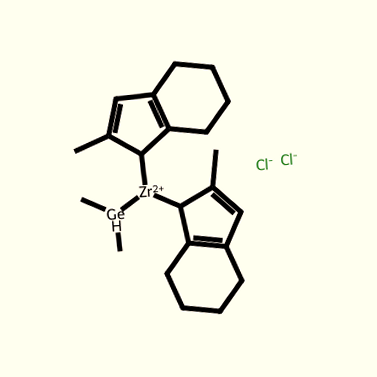 CC1=CC2=C(CCCC2)[CH]1[Zr+2]([CH]1C(C)=CC2=C1CCCC2)[GeH]([CH3])[CH3].[Cl-].[Cl-]